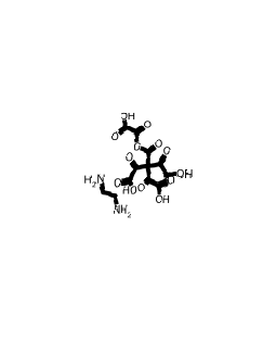 NCCN.O=C(O)C(=O)OC(=O)C(C(=O)C(=O)O)(C(=O)C(=O)O)C(=O)C(=O)O